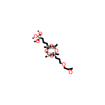 CO[Si](CCC[Si]1(C)O[SiH](C)O[Si](C)(CCCOCC2CO2)O[SiH](C)O1)(OC)OC